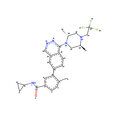 Cc1ccc(C(=O)NC2CC2)cc1-c1ccc2c(N3C[C@H](C)N(CC(F)(F)F)C[C@H]3C)nncc2c1